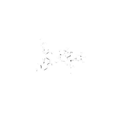 CC[C@@H]1C[C@]1(NC(=O)C1C[C@@H](Oc2cc(-c3nc(NC(C)C)sc3C)nc3c(Cl)c(OC)ccc23)CN1C(=O)[C@@H](NC(=O)O[C@@H]1C[C@@H]2C[C@@H]2C1)C(C)(C)C)C(=O)O